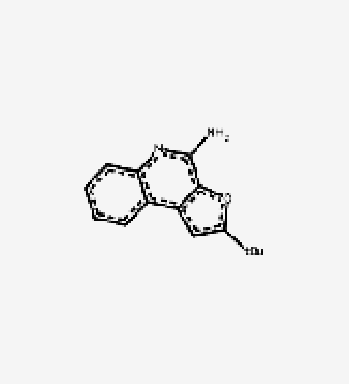 CC(C)(C)c1cc2c(o1)c(N)nc1ccccc12